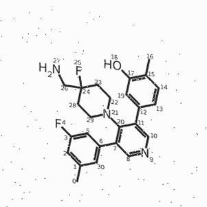 Cc1cc(F)cc(-c2cncc(-c3ccc(C)c(O)c3)c2N2CCC(F)(CN)CC2)c1